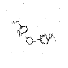 Cc1ccc([C@H]2CCC[C@H](c3ccc(C)nn3)C2)nn1